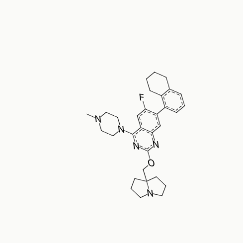 CN1CCN(c2nc(OCC34CCCN3CCC4)nc3cc(-c4cccc5c4CCCC5)c(F)cc23)CC1